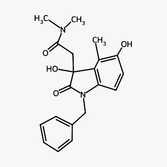 Cc1c(O)ccc2c1C(O)(CC(=O)N(C)C)C(=O)N2Cc1ccccc1